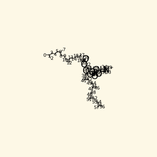 CC(C)CCCC(C)CCCC(C)CCCC(C)CC(=O)OC[C@H](COP(=O)(O)OCC[N+](C)(C)C)OC(=O)CC(C)CCCC(C)CCCC(C)CCCC(C)C